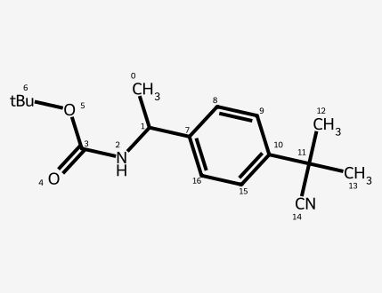 CC(NC(=O)OC(C)(C)C)c1ccc(C(C)(C)C#N)cc1